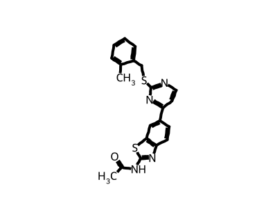 CC(=O)Nc1nc2ccc(-c3ccnc(SCc4ccccc4C)n3)cc2s1